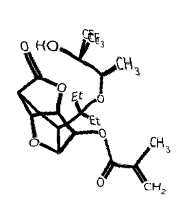 C=C(C)C(=O)OC1C2OC(=O)C3C2OC1C3C(CC)(CC)OC(C)C(O)(C(F)(F)F)C(F)(F)F